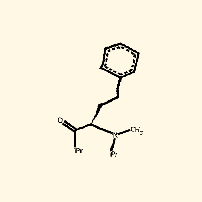 CC(C)C(=O)[C@@H](CCc1ccccc1)N(C)C(C)C